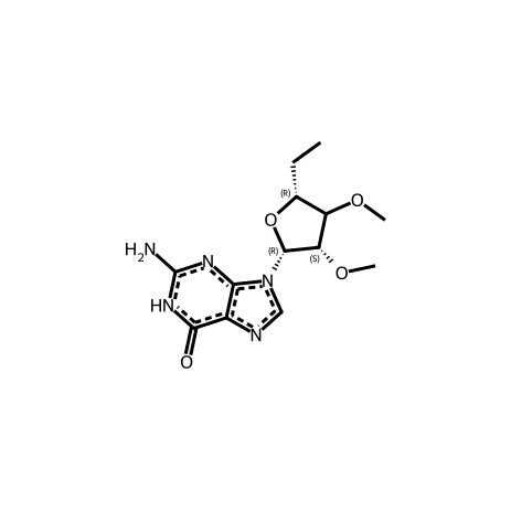 CC[C@H]1O[C@@H](n2cnc3c(=O)[nH]c(N)nc32)[C@@H](OC)C1OC